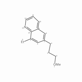 CCc1cc(CCCOC)cc2cccnc12